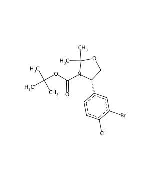 CC(C)(C)OC(=O)N1[C@@H](c2ccc(Cl)c(Br)c2)COC1(C)C